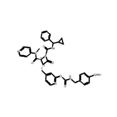 COc1ccc(CNC(=O)Oc2cc(C[C@H]3C(=O)N(C(=O)NC(c4ccccc4)C4CC4)[C@@H]3C(=O)N(C)c3ccncc3)ccn2)cc1